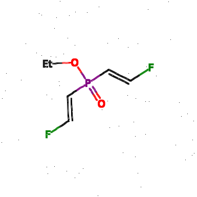 CCOP(=O)(C=CF)C=CF